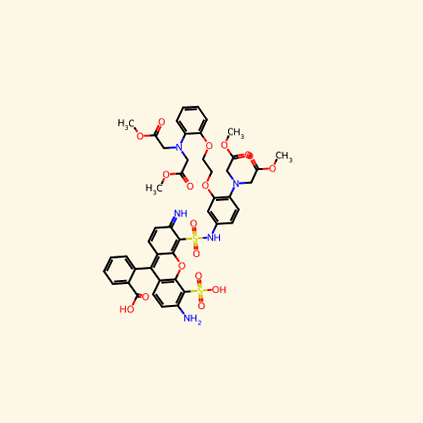 COC(=O)CN(CC(=O)OC)c1ccccc1OCCOc1cc(NS(=O)(=O)c2c3oc4c(S(=O)(=O)O)c(N)ccc4c(-c4ccccc4C(=O)O)c-3ccc2=N)ccc1N(CC(=O)OC)CC(=O)OC